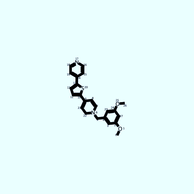 COc1cc(CN2C=CC(c3ccc(-c4ccncc4)s3)=CC2)cc(OC)c1